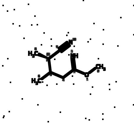 COC(=N)CC(C)[C@@H](C)C#N